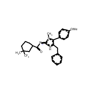 COc1ccc(-c2c(Cc3ccccc3)[nH]/c(=N\C(=O)C3CCCC(C)(C(F)(F)F)C3)n2C)cc1